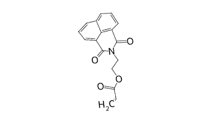 C=CC(=O)OCCN1C(=O)c2cccc3cccc(c23)C1=O